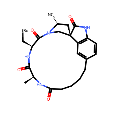 C[C@@H]1NC(=O)CCCCc2ccc3c(c2)[C@@]2(C[C@@H](C#N)N(C2)C(=O)[C@H](CC(C)(C)C)NC1=O)C(=O)N3